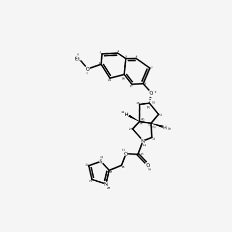 CCOc1ccc2ccc(O[C@@H]3C[C@@H]4CN(C(=O)OCc5nccs5)C[C@@H]4C3)cc2c1